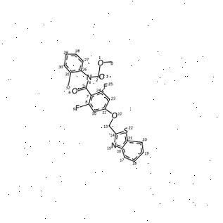 COC(=O)N(C(=O)c1c(F)cc(OCc2nc3ccccc3s2)cc1F)c1ccccc1C